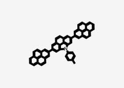 Cc1ccc(-n2c3cc(-c4cc5ccc6cccc7ccc(c4)c5c67)cc4ccc5cc(-c6cc7ccc8cccc9ccc(c6)c7c89)cc2c5c43)cc1